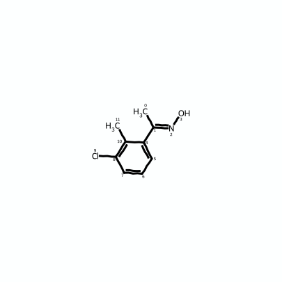 C/C(=N\O)c1cccc(Cl)c1C